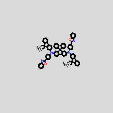 CCC1(CC)c2ccccc2-c2ccc(N(c3ccc(-c4nc5ccccc5o4)cc3)c3ccc4c(c3)C(c3ccccc3)(c3ccccc3)c3cc(N(c5ccc(-c6nc7ccccc7o6)cc5)c5ccc6c(c5)C(CC)(CC)c5ccccc5-6)ccc3-4)cc21